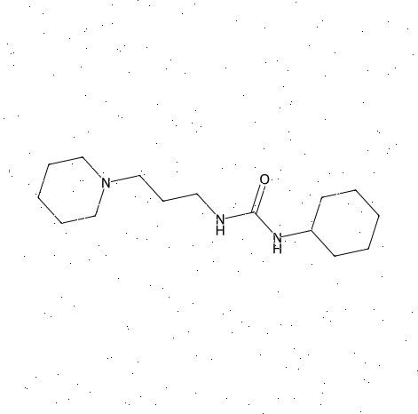 O=C(NCCCN1CCCCC1)NC1CCCCC1